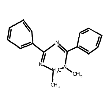 CC/N=C(\N=C(\c1ccccc1)N(C)C)c1ccccc1